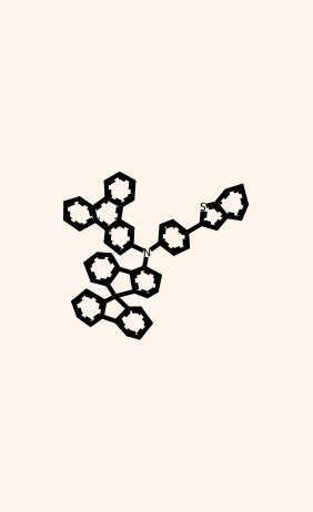 c1ccc2c(c1)-c1ccccc1C21c2ccccc2-c2c(N(c3ccc(-c4cc5ccccc5s4)cc3)c3ccc4c5ccccc5c5ccccc5c4c3)cccc21